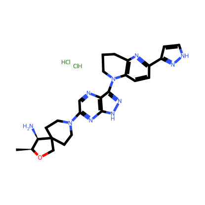 C[C@@H]1OCC2(CCN(c3cnc4c(N5CCCc6nc(-c7cc[nH]n7)ccc65)n[nH]c4n3)CC2)[C@@H]1N.Cl.Cl